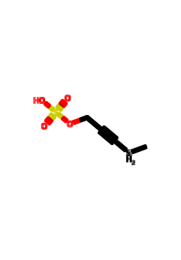 C[SiH2]C#CCOS(=O)(=O)O